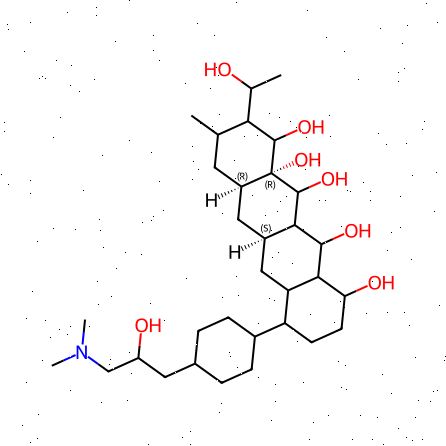 CC(O)C1C(C)C[C@@H]2C[C@@H]3CC4C(C5CCC(CC(O)CN(C)C)CC5)CCC(O)C4C(O)C3C(O)[C@]2(O)C1O